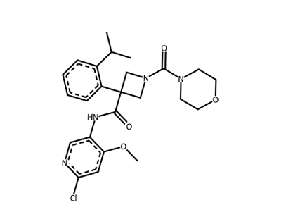 COc1cc(Cl)ncc1NC(=O)C1(c2ccccc2C(C)C)CN(C(=O)N2CCOCC2)C1